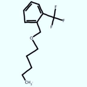 [CH2]CCCCOCc1ccccc1C(F)(F)F